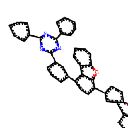 c1ccc(-c2nc(-c3ccccc3)nc(-c3cccc(-c4ccc(-c5ccc6oc7ccccc7c6c5)c5oc6ccccc6c45)c3)n2)cc1